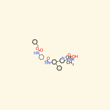 CC(C)(NC(=O)O)c1ccc(-c2ccc(NC(=O)C[C@H]3CC[C@H](NC(=O)OCc4ccccc4)CC3)cc2-c2ccccc2)cn1